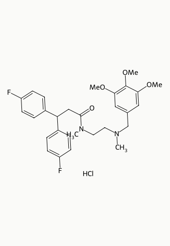 COc1cc(CN(C)CCN(C)C(=O)CC(c2ccc(F)cc2)c2ccc(F)cc2)cc(OC)c1OC.Cl